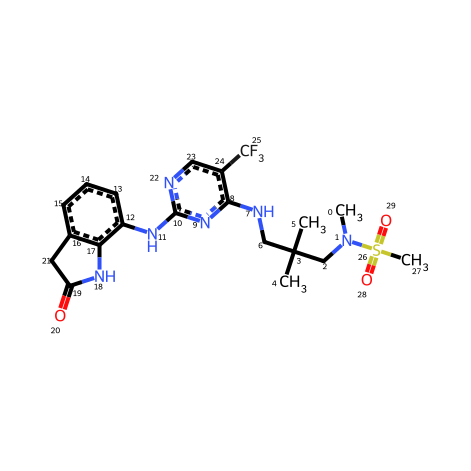 CN(CC(C)(C)CNc1nc(Nc2cccc3c2NC(=O)C3)ncc1C(F)(F)F)S(C)(=O)=O